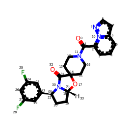 O=C(c1cccc2ccnn12)N1CCC2(CC1)O[C@@H]1CC[C@@H](c3cc(F)cc(F)c3)N1C2=O